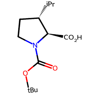 CC(C)[C@H]1CCN(C(=O)OC(C)(C)C)[C@@H]1C(=O)O